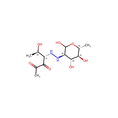 CC(=O)C(=O)[C@@H](NN[C@H]1C(O)O[C@H](C)[C@@H](O)[C@@H]1O)[C@@H](C)O